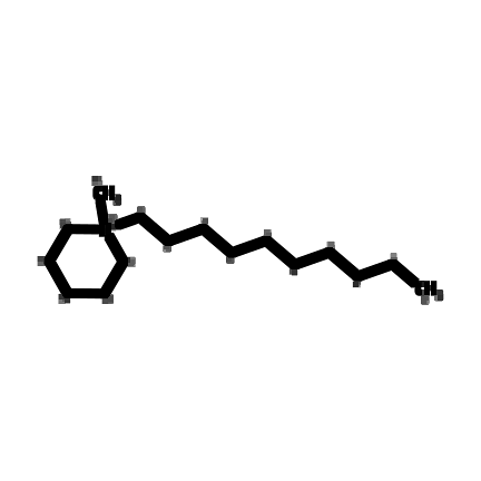 CCCCCCCCCC[N+]1(C)CCCCC1